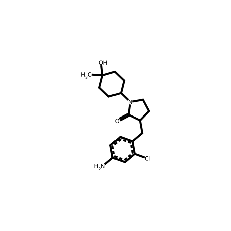 CC1(O)CCC(N2CCC(Cc3ccc(N)cc3Cl)C2=O)CC1